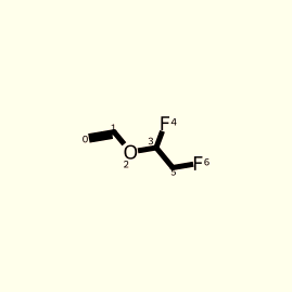 C=COC(F)CF